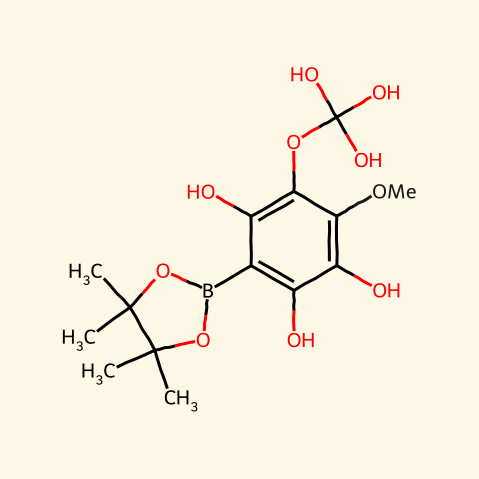 COc1c(O)c(O)c(B2OC(C)(C)C(C)(C)O2)c(O)c1OC(O)(O)O